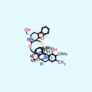 COc1c(C)cc2c(c1O)[C@H]1N[C@@H](C2)[C@H](C#N)N2[C@H]1[C@@H]1SC[C@]3(N[C@H](CO)Cc4c3oc3ccccc43)C(=O)OC[C@H]2c2c3c(c(C)c(OC(C)=O)c21)OCO3